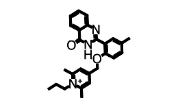 CCC[n+]1c(C)cc(COc2ccc(C)cc2-c2nc3ccccc3c(=O)[nH]2)cc1C